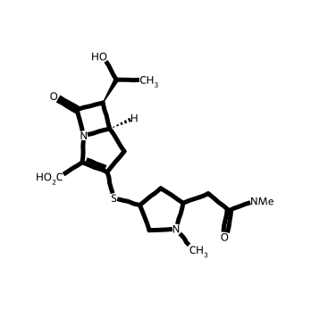 CNC(=O)CC1CC(SC2=C(C(=O)O)N3C(=O)[C@@H](C(C)O)[C@H]3C2)CN1C